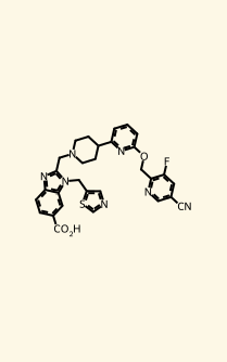 N#Cc1cnc(COc2cccc(C3CCN(Cc4nc5ccc(C(=O)O)cc5n4Cc4cncs4)CC3)n2)c(F)c1